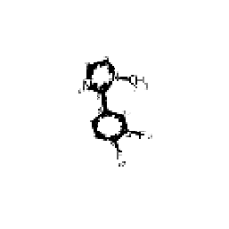 Cn1ccnc1-c1ccc(F)c(F)c1